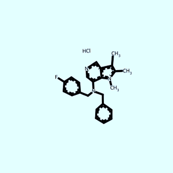 Cc1c(C)n(C)c2c(N(Cc3ccccc3)Cc3ccc(F)cc3)cncc12.Cl